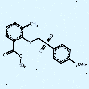 COc1ccc(S(=O)(=O)CNc2c(C)cccc2C(=O)OC(C)(C)C)cc1